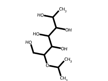 CC(C)OC(CO)C(O)C(O)C(O)C(C)O